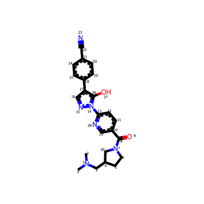 CN(C)CC1CCN(C(=O)c2ccc(-n3ncc(-c4ccc(C#N)cc4)c3O)nc2)C1